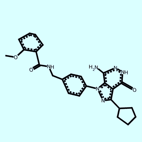 COc1ccccc1C(=O)NCc1ccc(-n2nc(C3CCCC3)c3c(=O)[nH]nc(N)c32)cc1